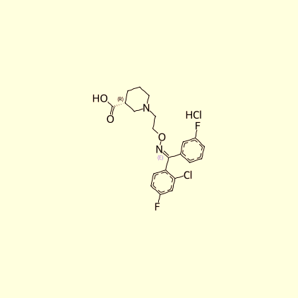 Cl.O=C(O)[C@@H]1CCCN(CCO/N=C(\c2cccc(F)c2)c2ccc(F)cc2Cl)C1